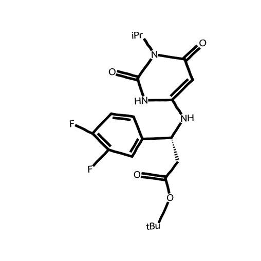 CC(C)n1c(=O)cc(N[C@H](CC(=O)OC(C)(C)C)c2ccc(F)c(F)c2)[nH]c1=O